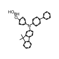 CC1(C)c2ccccc2-c2ccc(N(c3ccc(OBO)cc3)c3ccc(-c4ccccc4)cc3)cc21